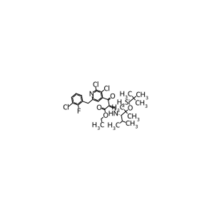 CCOC(=O)C(=CN[C@@H](C(C)C)C(C)(C)O[SiH2]C(C)(C)C)C(=O)c1cc(Cc2cccc(Cl)c2F)nc(Cl)c1Cl